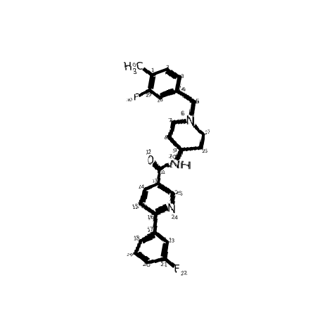 Cc1ccc(CN2CCC(NC(=O)c3ccc(-c4cccc(F)c4)nc3)CC2)cc1F